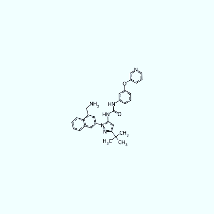 CC(C)(C)c1cc(NC(=O)Nc2cccc(Oc3cccnc3)c2)n(-c2cc(CN)c3ccccc3c2)n1